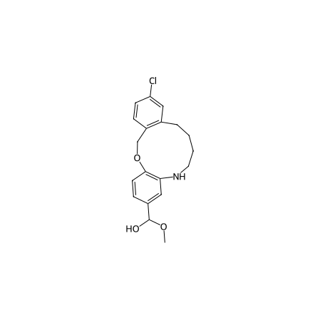 COC(O)c1ccc2c(c1)NCCCCc1cc(Cl)ccc1CO2